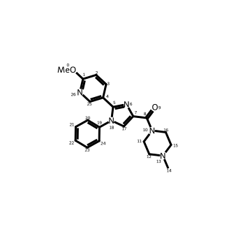 COc1ccc(-c2nc(C(=O)N3CCN(C)CC3)cn2-c2ccccc2)cn1